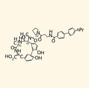 CCCc1ccc(-c2ccc(C(=O)NCCC(=O)N3CCC[C@H]3C(=O)N(C)[C@@H]3C(=O)N[C@@H](C)C(=O)N[C@H](C(=O)O)Cc4ccc(O)c(c4)-c4cc3ccc4O)cc2)cc1